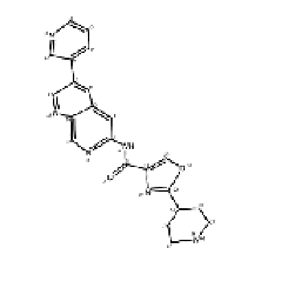 O=C(Nc1cc2cc(-c3cccnc3)cnc2cn1)c1coc(C2CCNCC2)n1